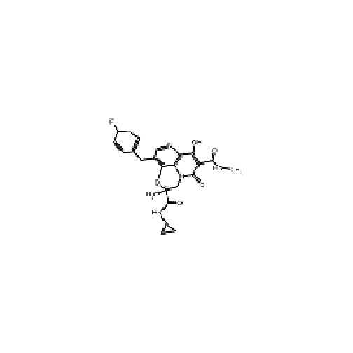 CNC(=O)c1c(O)c2ncc(CC3=CCC(F)C=C3)c3c2n(c1=O)C[C@](C)(C(=O)NC1CC1)O3